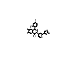 Cc1cc2c(-c3ccc(F)cc3F)nn(-c3ccnc(-c4cnn(C)c4)c3)c(=O)c2cc1C